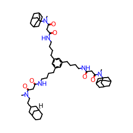 CN(CCC1CC2CCC[C@@H](C2)C1)C(=O)CC(=O)NCCCCc1cc(CCCCNC(=O)CC(=O)N(C)C23CC4CC(CC(C4)C2)C3)cc(CCCCNC(=O)CC(=O)N(C)C23CC4CC(CC(C4)C2)C3)c1